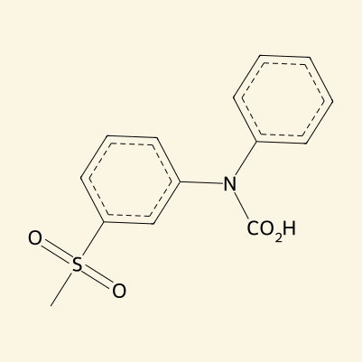 CS(=O)(=O)c1cccc(N(C(=O)O)c2ccccc2)c1